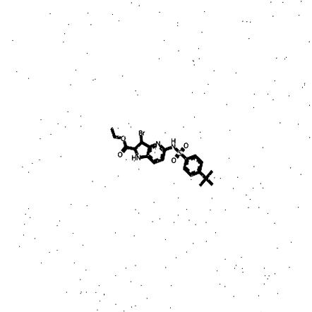 CCOC(=O)C1Nc2ccc(NS(=O)(=O)c3ccc(C(C)(C)C)cc3)nc2C1Br